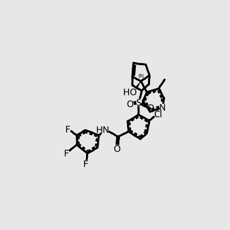 Cc1cnccc1[C@]1(O)C2=CCC1CC(S(=O)(=O)c1cc(C(=O)Nc3cc(F)c(F)c(F)c3)ccc1Cl)C2